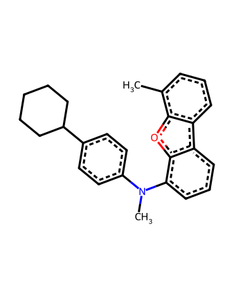 Cc1cccc2c1oc1c(N(C)c3ccc(C4CCCCC4)cc3)cccc12